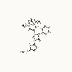 CCOC(=O)c1csc(-n2cc(B3OC(C)(C)C(C)(C)O3)c(-c3ccccc3)n2)n1